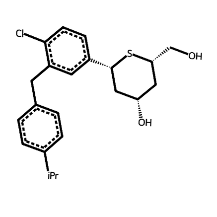 CC(C)c1ccc(Cc2cc([C@H]3C[C@@H](O)C[C@@H](CO)S3)ccc2Cl)cc1